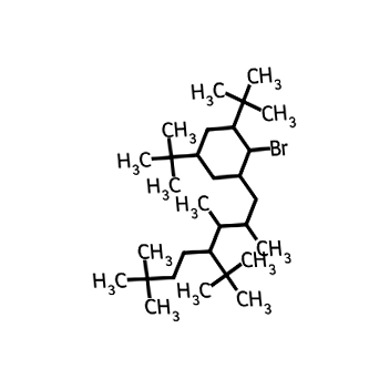 CC(CC1CC(C(C)(C)C)CC(C(C)(C)C)C1Br)C(C)C(CCC(C)(C)C)C(C)(C)C